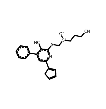 N#CCCC[S+]([O-])CSc1nc(C2=CC=CC2)cc(-c2ccccc2)c1C#N